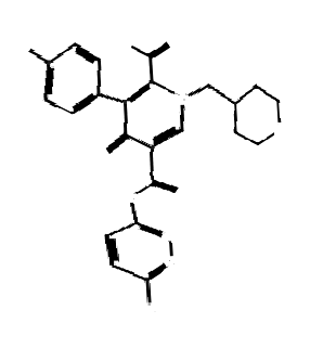 O=C(Nc1ccc(Br)nn1)c1cn(CC2CCOCC2)c(C(=O)O)c(-c2ccc(F)cc2)c1=O